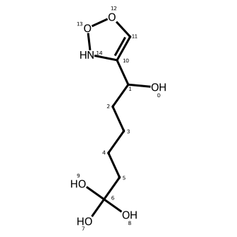 OC(CCCCC(O)(O)O)C1=COON1